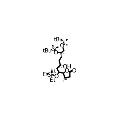 CC[Si](CC)(CC)OC(C[C@@H](O)CC[C@H](CO[Si](C)(C)C(C)(C)C)O[Si](C)(C)C(C)(C)C)C1OC(=O)C[C@@H]1C